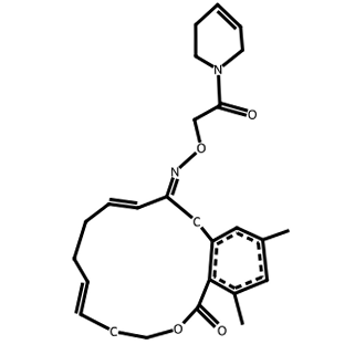 Cc1cc(C)c2c(c1)CC(=N\OCC(=O)N1CC=CCC1)/C=C/CC/C=C/CCOC2=O